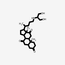 CC(CCCNC(CO)CO)C1CCC2C3C(=O)CC4CC(=O)CCC4(C)C3CC(=O)C12C